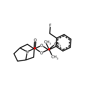 CC(C)(C)OC(=O)N1C2CCC1CC(OCc1ccccc1CF)C2